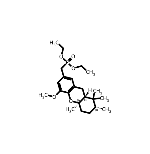 CCOP(=O)(Cc1cc2c(c(OC)c1)O[C@]1(C)CC[C@@H](C)C(C)(C)[C@H]1C2)OCC